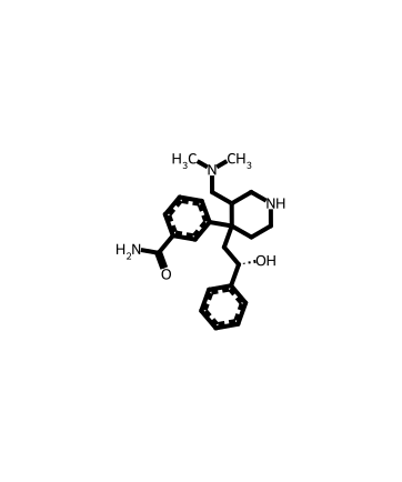 CN(C)CC1CNCCC1(C[C@H](O)c1ccccc1)c1cccc(C(N)=O)c1